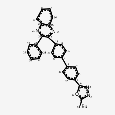 CCCCc1nnc(-c2ccc(-c3ccc(-c4nc5ccccc5nc4-c4ccccc4)cc3)cc2)o1